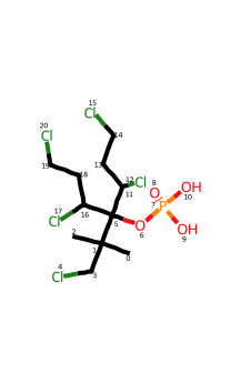 CC(C)(CCl)C(OP(=O)(O)O)(C(Cl)CCCl)C(Cl)CCCl